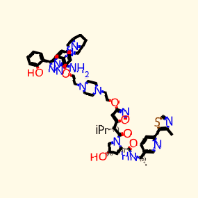 Cc1ncsc1-c1ccc([C@H](C)NC(=O)[C@@H]2C[C@@H](O)CN2C(=O)[C@@H](c2cc(OCCN3CCN(CCOc4cc(N5C6CCC5CN(c5cc(-c7ccccc7O)nnc5N)C6)ccn4)CC3)no2)C(C)C)cn1